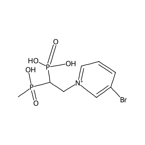 CP(=O)(O)C(C[n+]1cccc(Br)c1)P(=O)(O)O